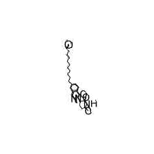 O=CCCCCCCCCCCc1ccc2c(=O)n(C3CCC(=O)NC3=O)ncc2c1